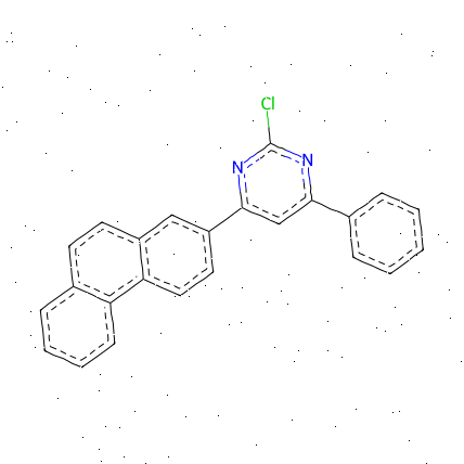 Clc1nc(-c2ccccc2)cc(-c2ccc3c(ccc4ccccc43)c2)n1